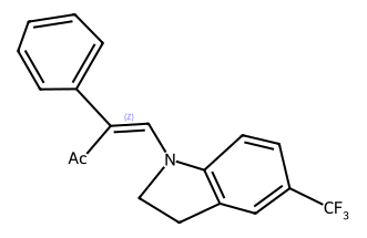 CC(=O)/C(=C\N1CCc2cc(C(F)(F)F)ccc21)c1ccccc1